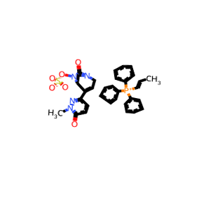 CC=C[P+](c1ccccc1)(c1ccccc1)c1ccccc1.Cn1nc(C2=CCN3CC2N(OS(=O)(=O)[O-])C3=O)ccc1=O